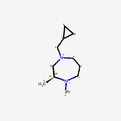 CC(C)N1CCCN(CC2CC2)C[C@@H]1C